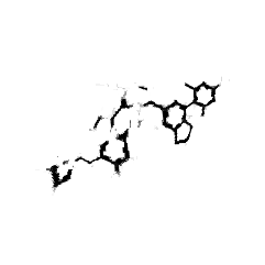 Cc1cc(F)cc(C)c1-c1cc([C@@H](CC(=O)O)NC(=O)[C@H](CC(C)C)n2cc(CCn3cccn3)c(C(F)(F)F)cc2=O)cc2c1CCC2